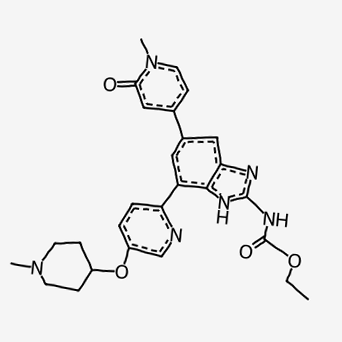 CCOC(=O)Nc1nc2cc(-c3ccn(C)c(=O)c3)cc(-c3ccc(OC4CCN(C)CC4)cn3)c2[nH]1